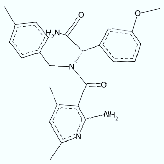 COc1cccc([C@@H](C(N)=O)N(Cc2ccc(C)cc2)C(=O)c2c(C)cc(C)nc2N)c1